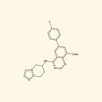 COc1cc(-c2ccc(F)cc2)cc2c(NC3CCc4nccn4C3)ncnc12